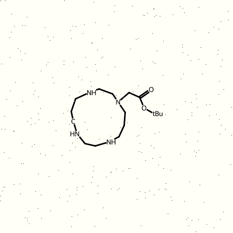 CC(C)(C)OC(=O)CN1CCCNCCNCCCNCC1